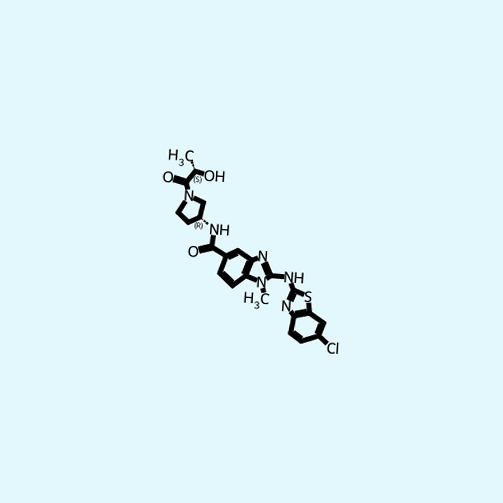 C[C@H](O)C(=O)N1CC[C@@H](NC(=O)c2ccc3c(c2)nc(Nc2nc4ccc(Cl)cc4s2)n3C)C1